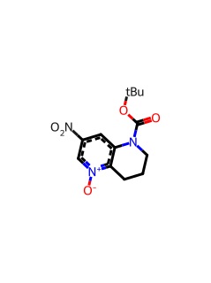 CC(C)(C)OC(=O)N1CCCc2c1cc([N+](=O)[O-])c[n+]2[O-]